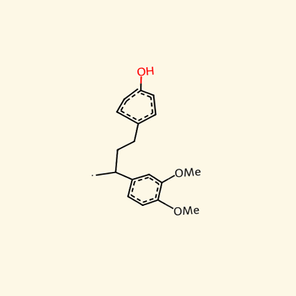 [CH2]C(CCc1ccc(O)cc1)c1ccc(OC)c(OC)c1